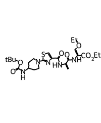 C=C(NC(=O)c1csc(N2CCC(NC(=O)OC(C)(C)C)CC2)n1)C(=O)NC(=COCC)C(=O)OCC